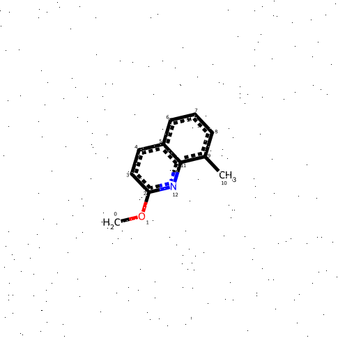 [CH2]Oc1ccc2cccc(C)c2n1